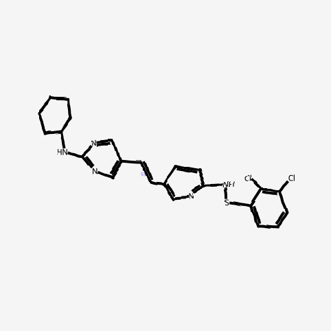 Clc1cccc(SNc2ccc(/C=C/c3cnc(NC4CCCCC4)nc3)cn2)c1Cl